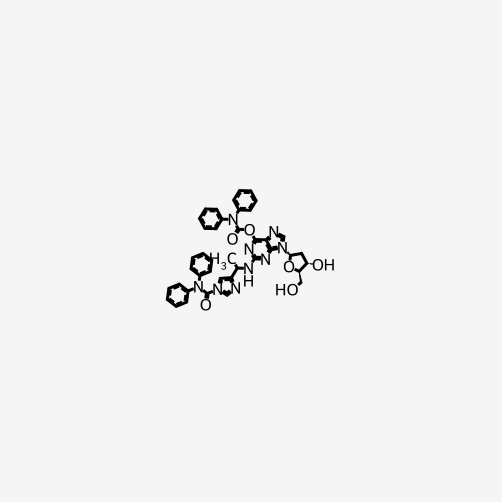 CC(Nc1nc(OC(=O)N(c2ccccc2)c2ccccc2)c2ncn([C@H]3C[C@H](O)[C@@H](CO)O3)c2n1)c1cn(C(=O)N(c2ccccc2)c2ccccc2)cn1